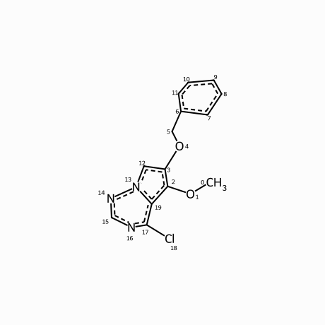 COc1c(OCc2ccccc2)cn2ncnc(Cl)c12